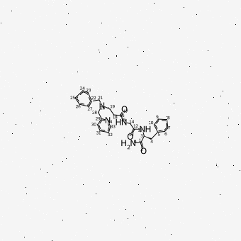 NC(=O)[C@H](Cc1ccccc1)NC(=O)CNC(=O)CCN(Cc1ccccc1)Cc1ccccn1